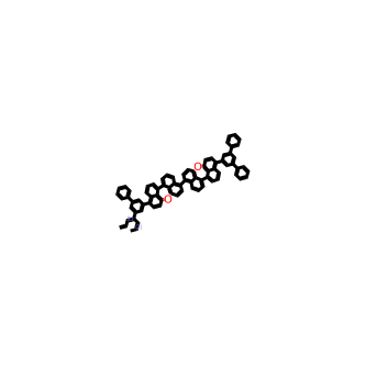 C=C/C=C(\C=C/C)c1cc(-c2ccccc2)cc(-c2ccc3oc4ccc(-c5ccc6oc7ccc(-c8cc(-c9ccccc9)cc(-c9ccccc9)c8)c8cccc(c9cccc5c69)c78)c5cccc(c6cccc2c36)c45)c1